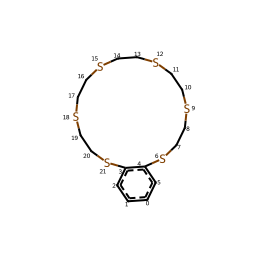 c1ccc2c(c1)SCCSCCSCCSCCSCCS2